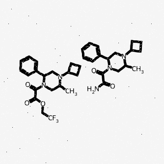 CC1CN(C(=O)C(=O)OCC(F)(F)F)C(c2ccccc2)CN1C1CCC1.CC1CN(C(=O)C(N)=O)C(c2ccccc2)CN1C1CCC1